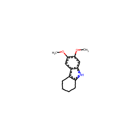 COc1cc2[nH]c3c(c2cc1OC)C[C]CC3